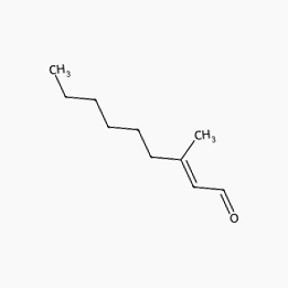 CCCCCC/C(C)=C/C=O